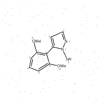 CCCn1nccc1-c1c(OC)cccc1OC